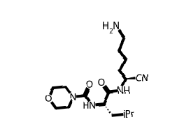 CC(C)C[C@H](NC(=O)N1CCOCC1)C(=O)N[C@H](C#N)CCCCN